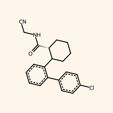 N#CCNC(=O)[C@@H]1CCCCC1c1ccccc1-c1ccc(Cl)cc1